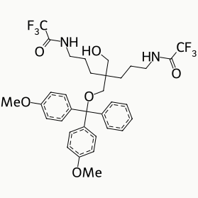 COc1ccc(C(OCC(CO)(CCCNC(=O)C(F)(F)F)CCCNC(=O)C(F)(F)F)(c2ccccc2)c2ccc(OC)cc2)cc1